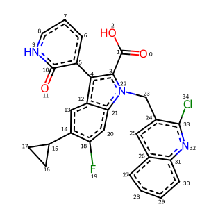 O=C(O)c1c(-c2ccc[nH]c2=O)c2cc(C3CC3)c(F)cc2n1Cc1cc2ccccc2nc1Cl